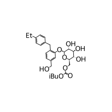 CCc1ccc(Cc2ccc(CO)cc2O[C@@H]2O[C@H](COC(=O)OCC(C)C)[C@@H](O)[C@H](O)[C@H]2O)cc1